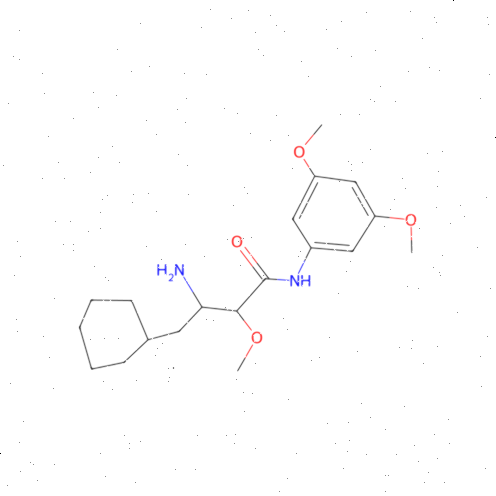 COc1cc(NC(=O)C(OC)C(N)CC2CCCCC2)cc(OC)c1